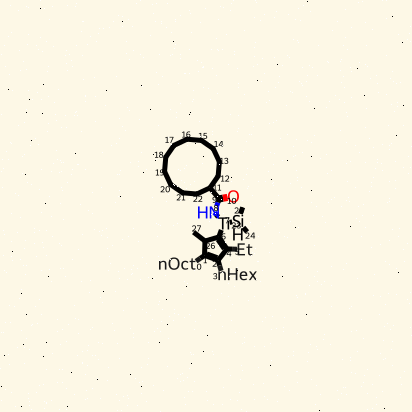 CCCCCCCCC1=C(CCCCCC)C(CC)=[C]([Ti]([NH]C(=O)C2CCCCCCCCCCC2)[SiH](C)C)C1C